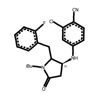 CCC(C)N1C(=O)C[C@H](Nc2ccc(C#N)c(Cl)c2)C1Cc1ccccc1F